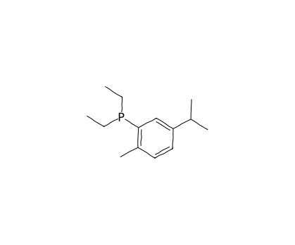 CCP(CC)c1cc(C(C)C)ccc1C